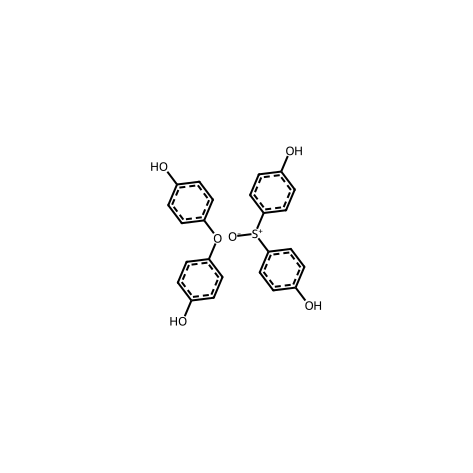 Oc1ccc(Oc2ccc(O)cc2)cc1.[O-][S+](c1ccc(O)cc1)c1ccc(O)cc1